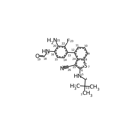 CC(C)(C)CNc1sc2cccc(-c3ccc(NC=O)c(N)c3F)c2c1C#N